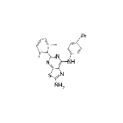 Cc1cccc(C)c1-c1nc(Nc2ccc(C(C)C)cc2)c2nc(N)sc2n1